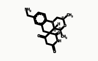 C[C@@H]1CN2c3ccc(CN)cc3CC3(C(=O)CC(=O)NC3=O)[C@H]2[C@H](C)O1